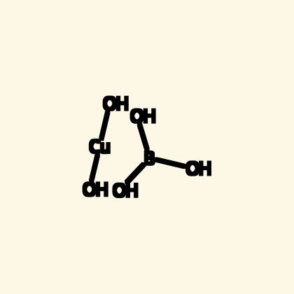 OB(O)O.[OH][Cu][OH]